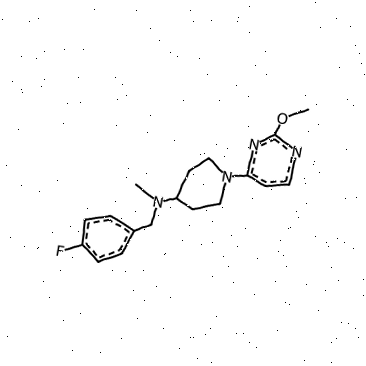 COc1nccc(N2CCC(N(C)Cc3ccc(F)cc3)CC2)n1